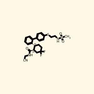 CS(=O)(=O)NCCSc1ccc(-c2ccccc2[C@@H]2CCC(F)(F)C[C@H]2C(=O)NCC#N)cc1